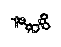 Cc1nc2ccc(-c3cc(C)c4c(c3)CN(C(=O)N3CCCCC3c3ccccc3)CCO4)cc2[nH]1